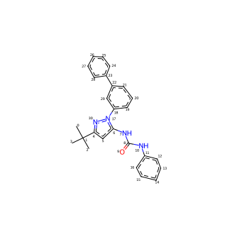 CC(C)(C)c1cc(NC(=O)Nc2ccccc2)n(-c2cccc(-c3ccccc3)c2)n1